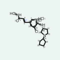 Cl.Cl.O=C(/C=C/c1cnc(N[C@@H]2CCN(C3CCCC3)C2)c(Cl)c1)NO